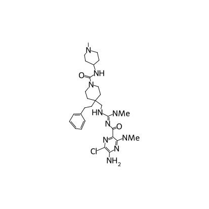 CN/C(=N\C(=O)c1nc(Cl)c(N)nc1NC)NCC1(CCc2ccccc2)CCN(C(=O)NC2CCN(C)CC2)CC1